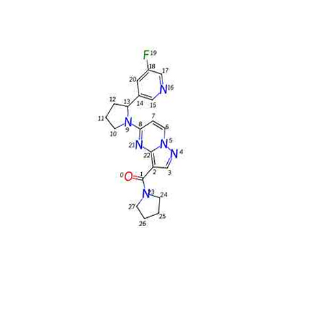 O=C(c1cnn2ccc(N3CCCC3c3cncc(F)c3)nc12)N1CCCC1